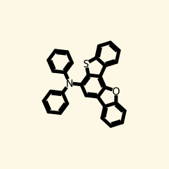 c1ccc(N(c2ccccc2)c2cc3c4ccccc4oc3c3c2sc2ccccc23)cc1